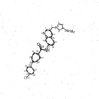 CC(=O)NC1CCN(Cc2cnc3cc(NC(=O)c4ccc(-c5ccc(Cl)cc5)cc4)ccc3c2)C1